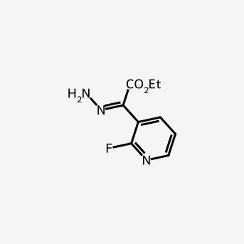 CCOC(=O)/C(=N\N)c1cccnc1F